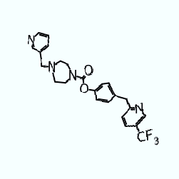 O=C(Oc1ccc(Cc2ccc(C(F)(F)F)cn2)cc1)N1CCN(Cc2cccnc2)CC1